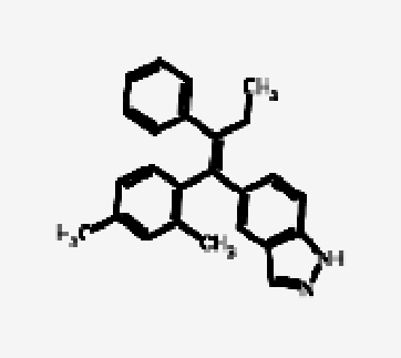 CC/C(=C(\c1ccc2[nH]ncc2c1)c1ccc(C)cc1C)c1ccccc1